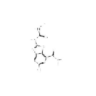 CCNC(=O)Nc1nc2cc(C)cc(C(=O)NCC)c2s1